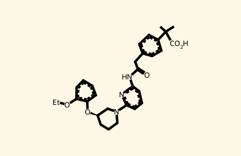 CCOc1ccccc1O[C@@H]1CCCN(c2cccc(NC(=O)Cc3ccc(C(C)(C)C(=O)O)cc3)n2)C1